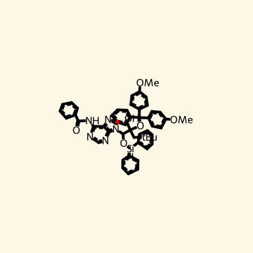 COc1ccc(C(OC(CO)(CC(C)(C)C)C(O[SiH](c2ccccc2)c2ccccc2)n2cnc3c(NC(=O)c4ccccc4)ncnc32)(c2ccccc2)c2ccc(OC)cc2)cc1